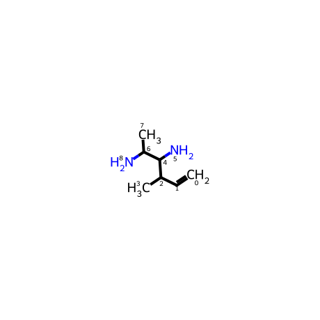 C=CC(C)C(N)C(C)N